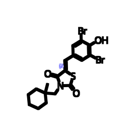 CC1(CN2C(=O)S/C(=C\c3cc(Br)c(O)c(Br)c3)C2=O)CCCCC1